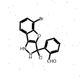 O=Cc1ccccc1C1(Cl)NNc2c1oc1c(Br)cccc21